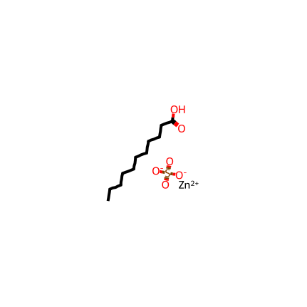 CCCCCCCCCCC(=O)O.O=S(=O)([O-])[O-].[Zn+2]